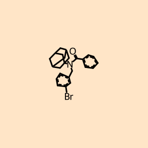 O=C(c1ccccc1)N(Cc1cccc(Br)c1)C12CC3CC(CC(C3)C1)C2